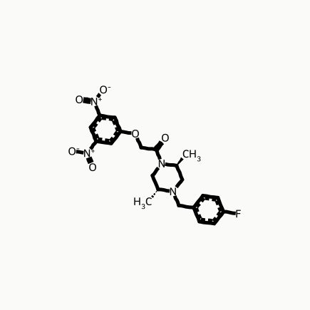 C[C@@H]1CN(C(=O)COc2cc([N+](=O)[O-])cc([N+](=O)[O-])c2)[C@@H](C)CN1Cc1ccc(F)cc1